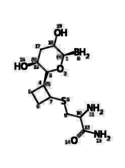 B[C@H]1OC([C@@H]2CCC2SCC(N)C(N)=O)[C@@H](O)CC1O